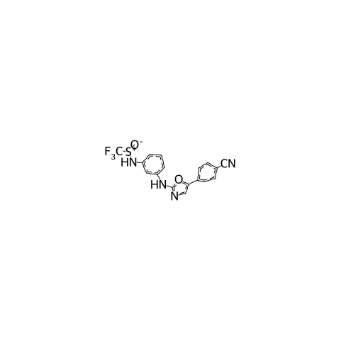 N#Cc1ccc(-c2cnc(Nc3cccc(N[S+]([O-])C(F)(F)F)c3)o2)cc1